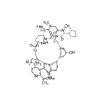 CCn1c(-c2cccnc2[C@H](C)OC)c2c3cc(ccc31)-c1cc(O)cc(c1)C[C@H](NC(=O)C(C1CCCC1)N(C)C(=O)CN(C)C(=O)[C@H]1CN1)C(=O)N1CCC[C@H](N1)C(=O)OCC(C)(C)C2